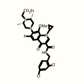 CCOC(=O)CN1[C@H](C)CN(c2c(F)cc3c(=O)c(C(=O)NCc4ccc(Cl)cc4Cl)cn(C4CC4)c3c2OC)C[C@@H]1C